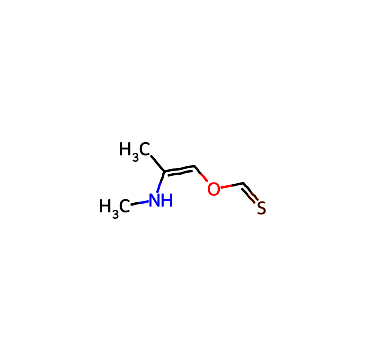 CN/C(C)=C\OC=S